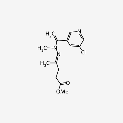 C=C(c1cncc(Cl)c1)N(C)/N=C(\C)CCC(=O)OC